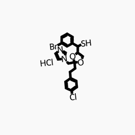 Cl.SC(c1cccc(Br)c1)C1COC(CCc2ccc(Cl)cc2)(Cn2ccnc2)O1